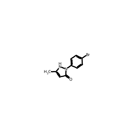 Cc1cc(=O)n(-c2ccc(Br)cc2)[nH]1